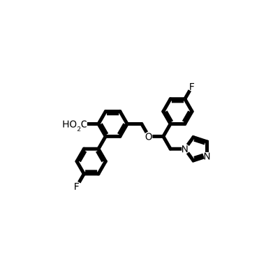 O=C(O)c1ccc(COC(Cn2ccnc2)c2ccc(F)cc2)cc1-c1ccc(F)cc1